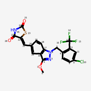 COc1nn(Cc2ccc(Cl)cc2C(F)(F)F)c2ccc(/C=C3\SC(=O)NC3=O)cc12